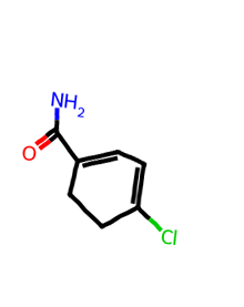 NC(=O)C1=CC=C(Cl)CC1